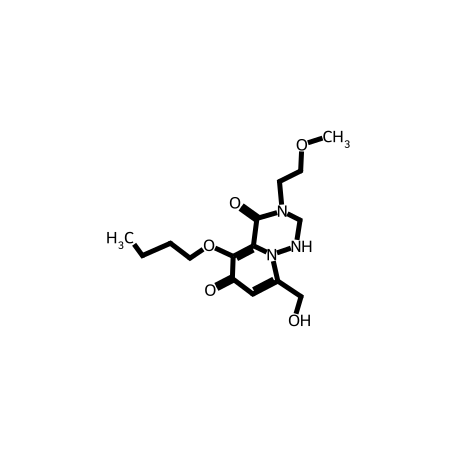 CCCCOc1c2n(c(CO)cc1=O)NCN(CCOC)C2=O